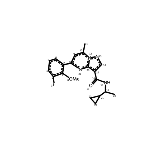 COc1c(F)cccc1-c1cc(C)n2ncc(C(=O)NC(C)C3CC3)c2n1